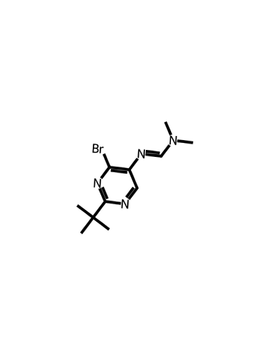 CN(C)/C=N/c1cnc(C(C)(C)C)nc1Br